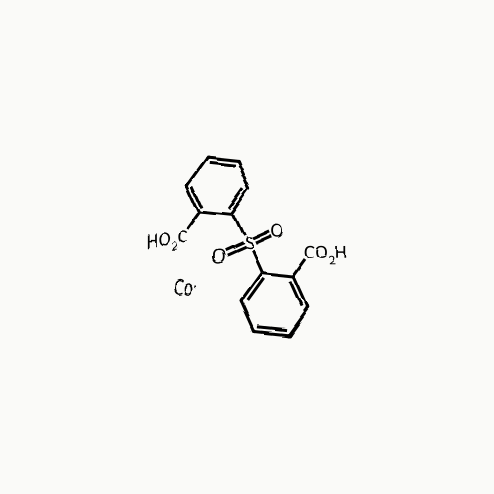 O=C(O)c1ccccc1S(=O)(=O)c1ccccc1C(=O)O.[Co]